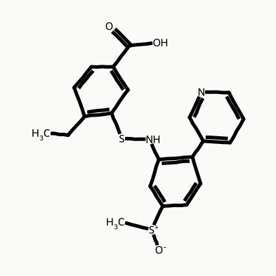 CCc1ccc(C(=O)O)cc1SNc1cc([S+](C)[O-])ccc1-c1cccnc1